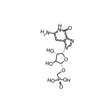 Nc1cc2c(ncn2[C@@H]2O[C@H](OCP(=O)(O)O)C(O)[C@@H]2O)c(=O)[nH]1